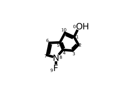 Oc1ccc2c(ccn2F)c1